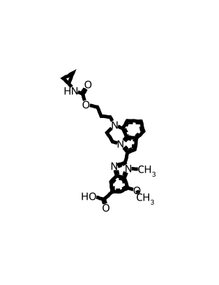 COc1cc(C(=O)O)cc2nc(-c3cc4cccc5c4n3CCN5CCCOC(=O)NC3CC3)n(C)c12